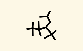 CC(C)C[C](C(C)(C)C)C(C)(C)C(C)(C)C